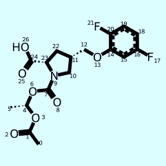 CC(=O)O[C@H](C)OC(=O)N1C[C@@H](COc2cc(F)ccc2F)C[C@H]1C(=O)O